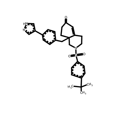 CC(C)(C)c1ccc(S(=O)(=O)N2CCC3=CC(=O)CCC3(Cc3ccc(-c4cn[nH]c4)cc3)C2)cc1